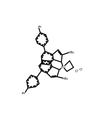 CC(C)c1ccc(-c2cccc3c2C=C(C(C)(C)C)[CH]3[Zr+2]2([CH]3C(C(C)(C)C)=Cc4c(-c5ccc(C(C)C)cc5)cccc43)[CH2]C[CH2]2)cc1.[Cl-].[Cl-]